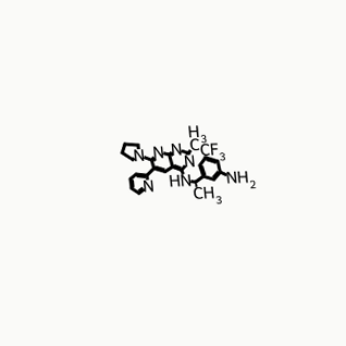 Cc1nc(N[C@H](C)c2cc(N)cc(C(F)(F)F)c2)c2cc(-c3ccccn3)c(N3CCCC3)nc2n1